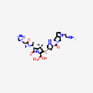 CC(NC(=O)Cn1cnnn1)[C@H]1C(=O)N2C(C(O)O)=C(S[C@@H]3CN[C@H](C(=O)N4CC5CCN(CCN)C5C4)C3)[C@H](C)[C@H]12